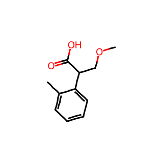 COCC(C(=O)O)c1ccccc1C